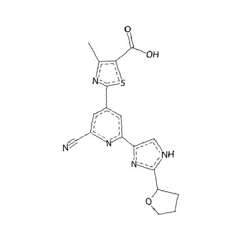 Cc1nc(-c2cc(C#N)nc(-c3c[nH]c(C4CCCO4)n3)c2)sc1C(=O)O